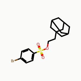 O=S(=O)(OCCC12CC3CC(CC(C3)C1)C2)c1ccc(Br)cc1